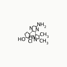 Cc1n[nH]c(-c2nc(N)cnc2-c2ccc(O)c(Cl)c2)c1C